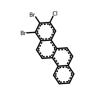 Clc1cc2c(ccc3c4ccccc4ccc23)c(Br)c1Br